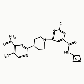 NC(=O)c1nc(C2CCN(c3cc(C(=O)NC45CC(C4)C5)nc(Cl)n3)CC2)ncc1N